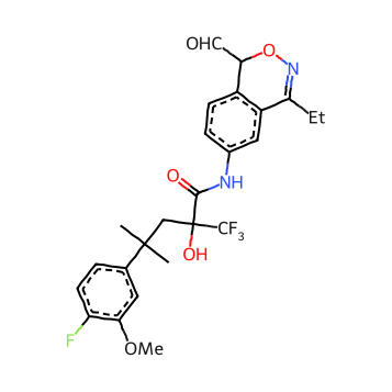 CCC1=NOC(C=O)c2ccc(NC(=O)C(O)(CC(C)(C)c3ccc(F)c(OC)c3)C(F)(F)F)cc21